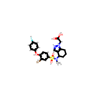 CN(C1CCCc2c1cnn2CC(=O)O)S(=O)(=O)c1ccc(Oc2ccc(F)cc2)c(Br)c1